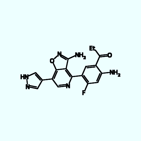 CCC(=O)c1cc(-c2ncc(-c3cn[nH]c3)c3onc(N)c23)c(F)cc1N